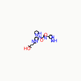 CNc1cc(-c2nc(C(=O)Nc3cn4cc(CCC(C)(C)O)nc4cc3N3CCCCC3)co2)ccn1